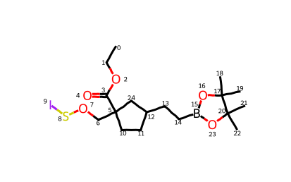 CCOC(=O)C1(COSI)CCC(CCB2OC(C)(C)C(C)(C)O2)C1